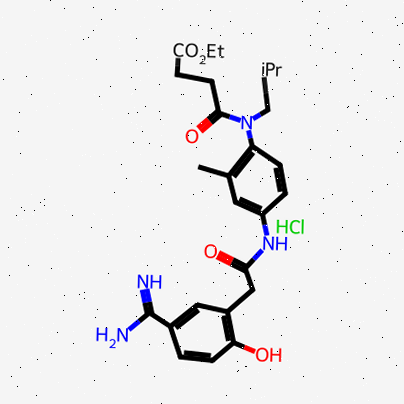 CCOC(=O)CCC(=O)N(CC(C)C)c1ccc(NC(=O)Cc2cc(C(=N)N)ccc2O)cc1C.Cl